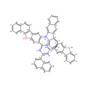 c1ccc2cc3c(cc2c1)c1ccccc1n3-c1cc2c(cc1-c1nc(-c3ccc4sc5ccccc5c4c3)nc(-c3cccc4ccccc34)n1)oc1c3ccccc3ccc21